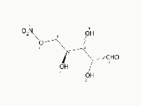 O=C[C@H](O)[C@@H](O)[C@@H](O)CO[N+](=O)[O-]